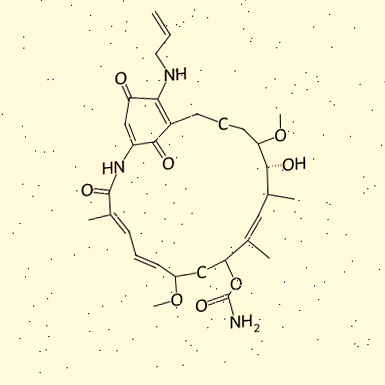 C=CCNC1=C2CCCC(OC)[C@H](O)C(C)/C=C(\C)C(OC(N)=O)CC(OC)/C=C\C=C(/C)C(=O)NC(=CC1=O)C2=O